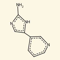 Nc1ncc(-c2cccnc2)[nH]1